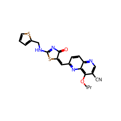 CC(C)Oc1c(C#N)cnc2ccc(C=C3SC(NCc4cccs4)=NC3=O)nc12